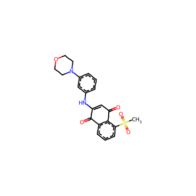 CS(=O)(=O)c1cccc2c1C(=O)C=C(Nc1cccc(N3CCOCC3)c1)C2=O